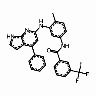 Cc1ccc(NC(=O)c2cccc(C(F)(F)F)c2)cc1Nc1cc(-c2ccccc2)c2cc[nH]c2n1